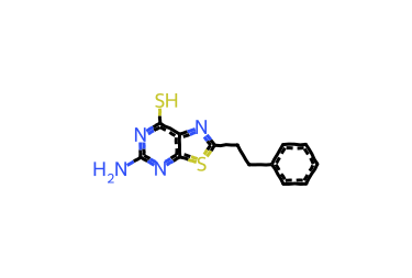 Nc1nc(S)c2nc(CCc3ccccc3)sc2n1